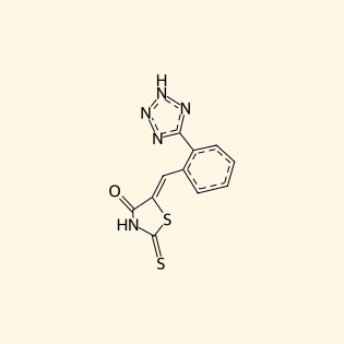 O=C1NC(=S)S/C1=C\c1ccccc1-c1nn[nH]n1